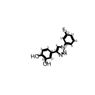 Oc1ccc(-c2cn(-c3cccc(F)c3)nn2)cc1O